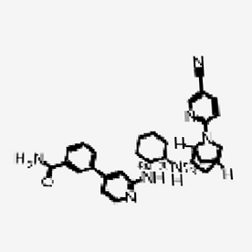 N#Cc1ccc(N2C[C@@H]3C[C@H](N[C@@H]4CCCC[C@H]4Nc4cc(-c5cccc(C(N)=O)c5)ccn4)[C@H]2C3)nc1